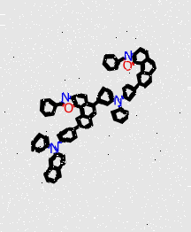 c1ccc(-c2nc3ccc4ccc5ccc(-c6ccc(N(c7ccccc7)c7cccc(-c8cc9ccc(-c%10ccc(N(c%11ccccc%11)c%11ccc%12ccccc%12c%11)cc%10)cc9c9c8ccc8nc(-c%10ccccc%10)oc89)c7)cc6)cc5c4c3o2)cc1